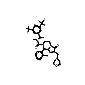 Cc1ccccc1C1C2CC(CN3CCOCC3)C(=O)N2CCN1C(=O)N(C)[C@H](C)c1cc(C(F)(F)F)cc(C(F)(F)F)c1